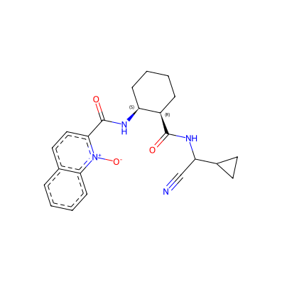 N#CC(NC(=O)[C@@H]1CCCC[C@@H]1NC(=O)c1ccc2ccccc2[n+]1[O-])C1CC1